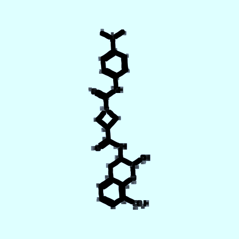 CN(C)c1ccc(NC(=O)N2CC(C(=O)NC3Cc4cccc(C(=O)O)c4OB3O)C2)cc1